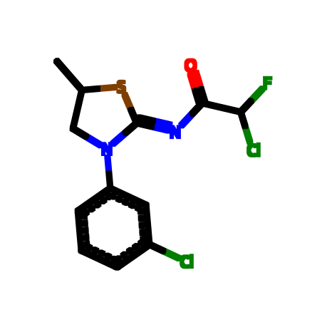 CC1CN(c2cccc(Cl)c2)C(=NC(=O)C(F)Cl)S1